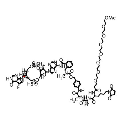 COCCOCCOCCOCCOCCOCCOCCOCCC(=O)N[C@H](CCCCN1C(=O)C=CC1=O)C(=O)N[C@H](C(=O)N[C@@H](C)C(=O)Nc1ccc(COC(=O)N(C)Cc2ccccc2C(=O)Nc2ncnc3c2ncn3[C@@H]2O[C@@H]3CO[P@@](=O)(S)C[C@@H]4[C@H](O)[C@@H](CO[P@@](=O)(S)O[C@H]3[C@H]2F)O[C@H]4n2cc(F)c3c(=O)[nH]cnc32)cc1)C(C)C